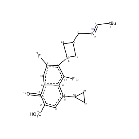 CC(C)(C)/C=N/CC1CN(c2c(F)cc3c(=O)c(C(=O)O)cn(C4CC4)c3c2F)C1